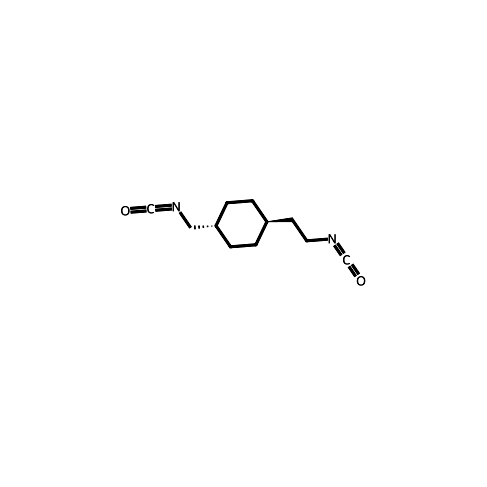 O=C=NCC[C@H]1CC[C@H](CN=C=O)CC1